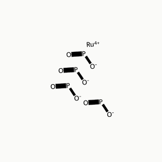 O=P[O-].O=P[O-].O=P[O-].O=P[O-].[Ru+4]